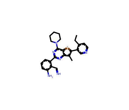 CCc1ccncc1-c1sc2c(N3CCCCC3)nc(-c3cccc(N)c3C=N)nc2c1C